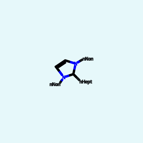 CCCCCCCCCN1C=CN(CCCCCCCCC)C1CCCCCCC